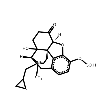 C[N+]1(CC2CC2)CC[C@]23c4c5ccc(OS(=O)(=O)O)c4O[C@@H]2C(=O)CCC3(O)[C@H]1C5